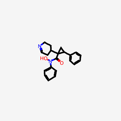 O=C(N(O)c1ccccc1)C1(C2CC=NCC2)CC1c1ccccc1